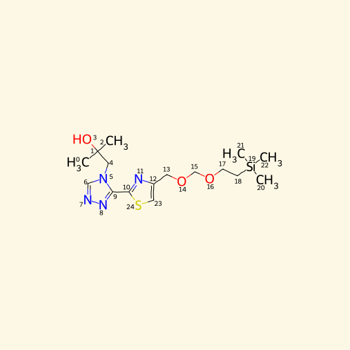 CC(C)(O)Cn1cnnc1-c1nc(COCOCC[Si](C)(C)C)cs1